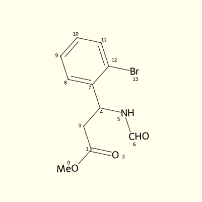 COC(=O)CC(NC=O)c1ccccc1Br